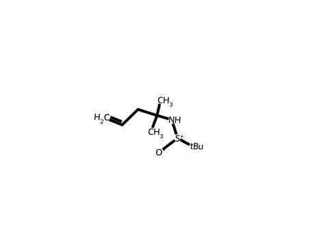 C=CCC(C)(C)N[S+]([O-])C(C)(C)C